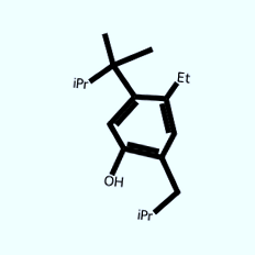 CCc1cc(CC(C)C)c(O)cc1C(C)(C)C(C)C